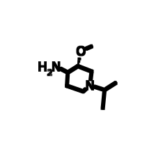 CO[C@@H]1CN(C(C)C)CCC1N